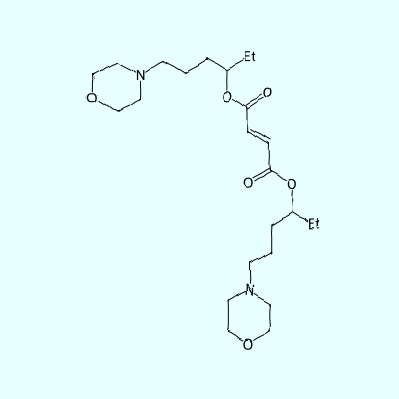 CCC(CCCN1CCOCC1)OC(=O)/C=C/C(=O)OC(CC)CCCN1CCOCC1